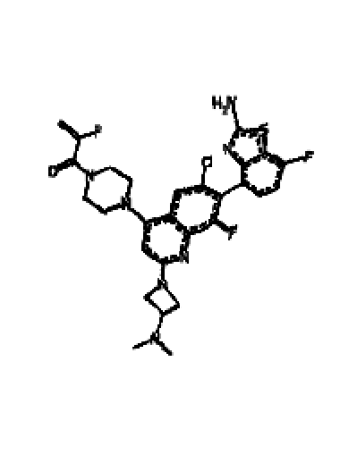 C=C(F)C(=O)N1CCN(c2cc(N3CC(N(C)C)C3)nc3c(F)c(-c4ccc(F)c5sc(N)nc45)c(Cl)cc23)CC1